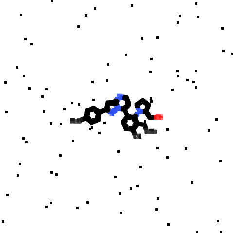 COCc1c(C#N)ccc(-c2ccnc3cc(-c4ccc(OC)cc4)nn23)c1N1CCCC1CO